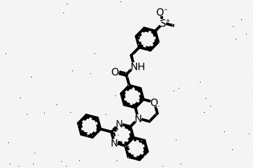 C[S+]([O-])c1ccc(CNC(=O)c2ccc3c(c2)OCCN3c2nc(-c3ccccc3)nc3ccccc23)cc1